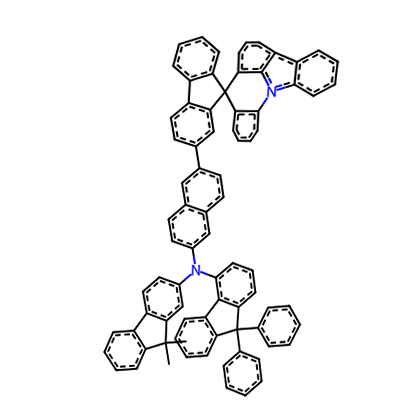 CC1(C)c2ccccc2-c2ccc(N(c3ccc4cc(-c5ccc6c(c5)C5(c7ccccc7-6)c6ccccc6-n6c7ccccc7c7cccc5c76)ccc4c3)c3cccc4c3-c3ccccc3C4(c3ccccc3)c3ccccc3)cc21